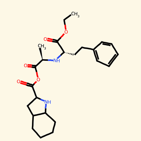 CCOC(=O)[C@H](CCc1ccccc1)N[C@H](C)C(=O)OC(=O)C1CC2CCCCC2N1